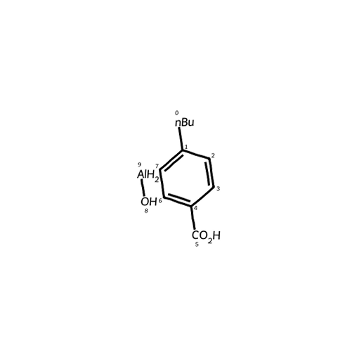 CCCCc1ccc(C(=O)O)cc1.[OH][AlH2]